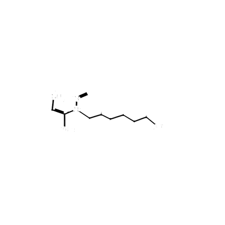 C=NN(CCCCCCC(C)C)/C(=C\N)CCCC